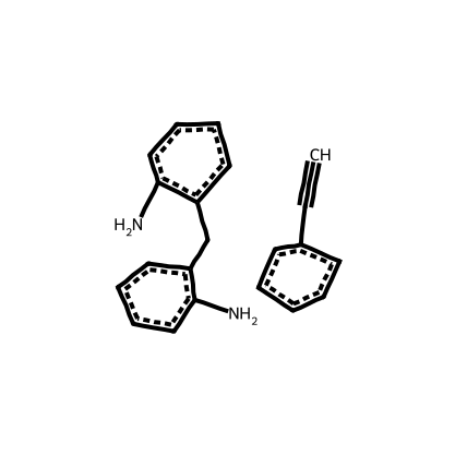 C#Cc1ccccc1.Nc1ccccc1Cc1ccccc1N